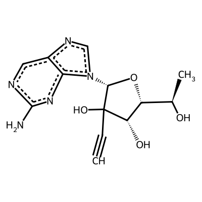 C#CC1(O)[C@@H](O)[C@@H]([C@@H](C)O)O[C@H]1n1cnc2cnc(N)nc21